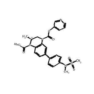 COC(=O)N1c2ccc(-c3ccc(N(C)S(C)(=O)=O)cc3)cc2N(C(=O)Oc2cccnc2)C[C@@H]1C